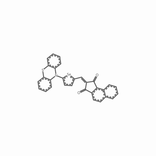 O=C1/C(=C\c2ccc(N3c4ccccc4Sc4ccccc43)[se]2)C(=O)c2c1ccc1ccccc21